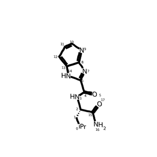 CC(C)C[C@H](NC(=O)c1nc2ncccc2[nH]1)C(N)=O